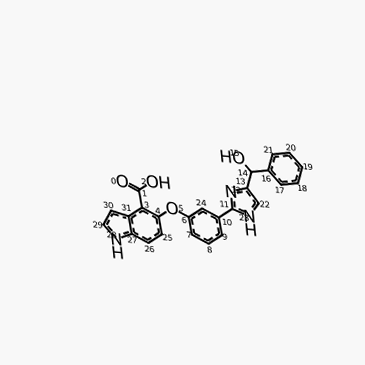 O=C(O)c1c(Oc2cccc(-c3nc(C(O)c4ccccc4)c[nH]3)c2)ccc2[nH]ccc12